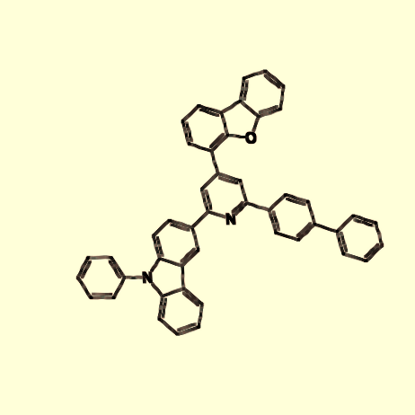 c1ccc(-c2ccc(-c3cc(-c4cccc5c4oc4ccccc45)cc(-c4ccc5c(c4)c4ccccc4n5-c4ccccc4)n3)cc2)cc1